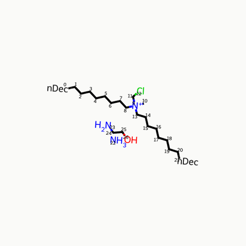 CCCCCCCCCCCCCCCCCC[N+](C)(CCl)CCCCCCCCCCCCCCCCCC.N.NCCO